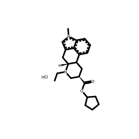 CCN1C[C@H](C(=O)OC2CCCC2)CC2c3cccc4c3c(cn4C)C[C@H]21.Cl